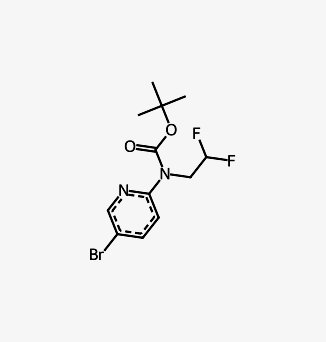 CC(C)(C)OC(=O)N(CC(F)F)c1ccc(Br)cn1